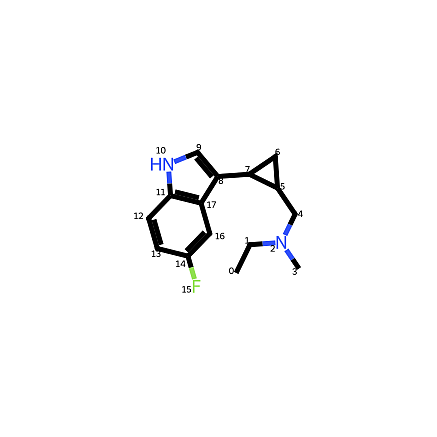 CCN(C)CC1CC1c1c[nH]c2ccc(F)cc12